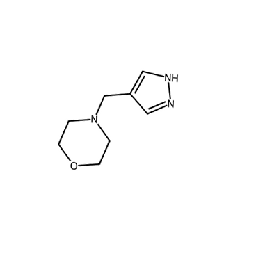 c1n[nH]cc1CN1CCOCC1